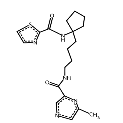 Cc1cncc(C(=O)NCCCCC2(NC(=O)c3nccs3)CCCC2)n1